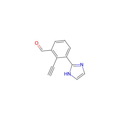 C#Cc1c(C=O)cccc1-c1ncc[nH]1